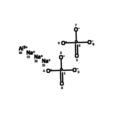 O=P([O-])([O-])[O-].O=P([O-])([O-])[O-].[Al+3].[Na+].[Na+].[Na+]